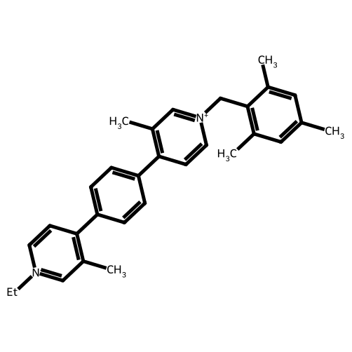 CC[n+]1ccc(-c2ccc(-c3cc[n+](Cc4c(C)cc(C)cc4C)cc3C)cc2)c(C)c1